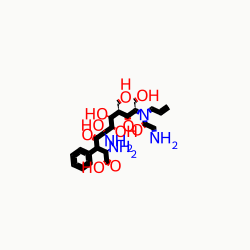 C=CCN(C(=O)CN)[C@@H](CO)C(=O)[C@@H](CO)[C@@H](O)[C@@H](O)[C@](N)(O)C(=O)C(c1ccccc1)[C@H](N)C(=O)O